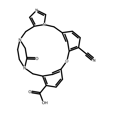 N#Cc1ccc2cc1Oc1ccc(C(=O)O)c(c1)CN1CCN(CC1=O)Cc1cncn1C2